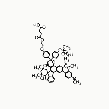 COc1ccc(-c2cc3c4c(c5c(c3cc2OC)OC(c2ccc(OCCOC(=O)CCC(=O)O)cc2)(c2ccc(OC(C)(C)CO)cc2)C=C5)C2(CC(C)(C)CC(C)(C)C2)c2ccccc2-4)c(OC)c1